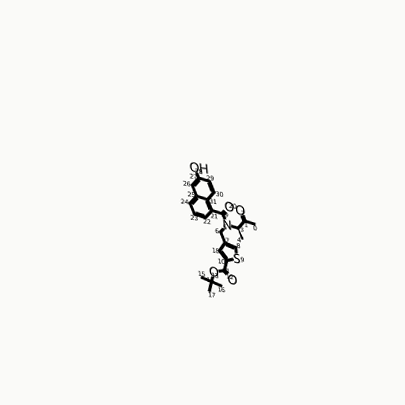 CC(=O)[C@@H](C)N(Cc1csc(C(=O)OC(C)(C)C)c1)C(=O)c1cccc2cc(O)ccc12